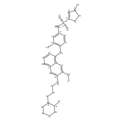 COc1cc2c(Oc3ccc(NS(=O)(=O)C4=NN(C)CC4)cc3F)ccnc2cc1OCCCN1CCCCC1C